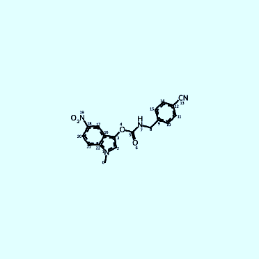 Cn1cc(OC(=O)NCc2ccc(C#N)cc2)c2cc([N+](=O)[O-])ccc21